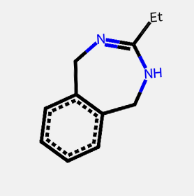 CCC1=NCc2ccccc2CN1